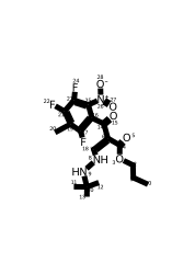 CCCOC(=O)C(=CNNC(C)(C)C)C(=O)c1c(F)c(C)c(F)c(F)c1[N+](=O)[O-]